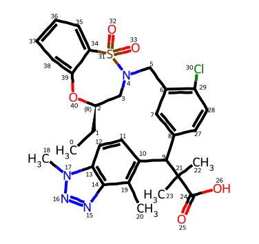 CC[C@@H]1CN(Cc2cc(C(c3ccc4c(nnn4C)c3C)C(C)(C)C(=O)O)ccc2Cl)S(=O)(=O)c2ccccc2O1